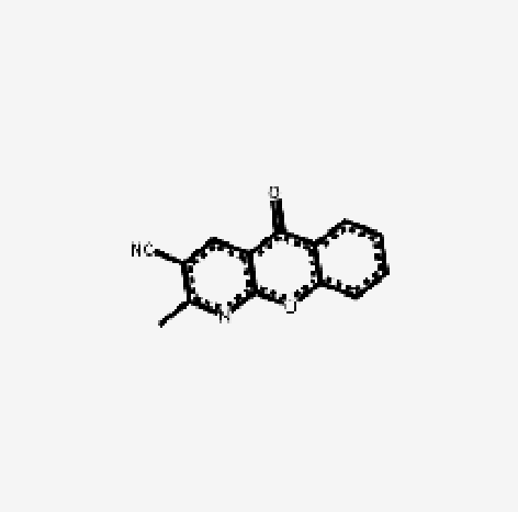 Cc1nc2oc3ccccc3c(=O)c2cc1C#N